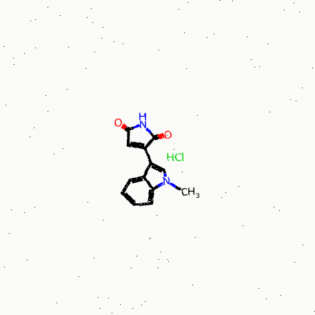 Cl.Cn1cc(C2=CC(=O)NC2=O)c2ccccc21